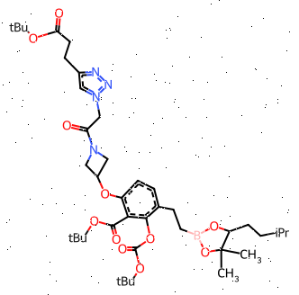 CC(C)CCC1OB(CCc2ccc(OC3CN(C(=O)Cn4cc(CCC(=O)OC(C)(C)C)nn4)C3)c(C(=O)OC(C)(C)C)c2OC(=O)OC(C)(C)C)OC1(C)C